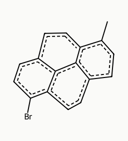 Cc1ccc2ccc3c(Br)ccc4ccc1c2c43